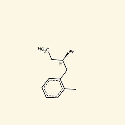 Cc1ccccc1C[C@@H](CC(=O)O)C(C)C